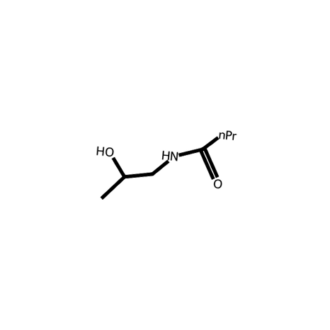 CCCC(=O)NCC(C)O